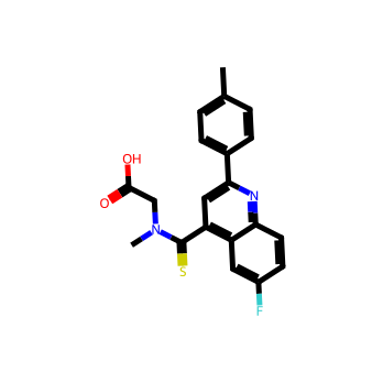 Cc1ccc(-c2cc(C(=S)N(C)CC(=O)O)c3cc(F)ccc3n2)cc1